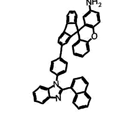 Nc1ccc2c(c1)C1(c3ccccc3O2)c2ccccc2-c2ccc(-c3ccc(-n4c(-c5cccc6ccccc56)nc5ccccc54)cc3)cc21